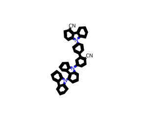 N#Cc1ccc(-n2c3ccccc3c3c(-n4c5ccccc5c5ccccc54)cccc32)cc1-c1ccc(-n2c3ccccc3c3c(C#N)cccc32)cc1